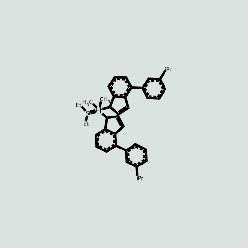 CC[Si](CC)=[Hf]([CH3])([CH3])([CH]1C=Cc2c(-c3cccc(C(C)C)c3)cccc21)[CH]1C=Cc2c(-c3cccc(C(C)C)c3)cccc21